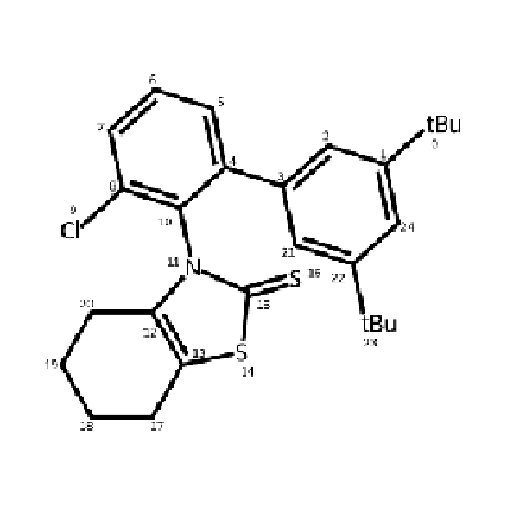 CC(C)(C)c1cc(-c2cccc(Cl)c2-n2c3c(sc2=S)CCCC3)cc(C(C)(C)C)c1